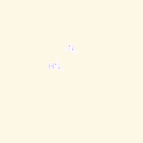 C1=CCC2C=NCNC2C=C1